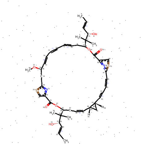 C/C=C/[C@H](O)C(C)(C)[C@@H]1C\C=C/C=C\C=C\[C@H](OC)Cc2nc(cs2)C(=O)O[C@H](C(C)(C)[C@@H](O)/C=C/C)C/C=C\[C@H]2C[C@H]2/C=C/C=C\c2nc(cs2)C(=O)O1